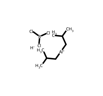 CC(C)[CH2][Al+][CH2]C(C)C.ClB(Cl)Cl.[H-]